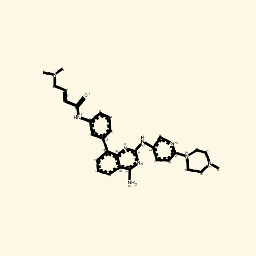 CN(C)C/C=C/C(=O)Nc1cccc(-c2cccc3c(N)nc(Nc4ccc(N5CCN(C)CC5)nc4)nc23)c1